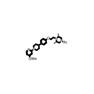 COc1ccnc(N2CCC(c3ccc(OCCN4[C@H](C)CN(C(C)=O)C[C@@H]4C)cc3)CC2)c1